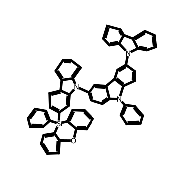 c1ccc(-n2c3ccc(-n4c5ccccc5c5ccccc54)cc3c3cc(-n4c5ccccc5c5ccc([Si]6(c7ccccc7)c7ccccc7Oc7ccccc76)cc54)ccc32)cc1